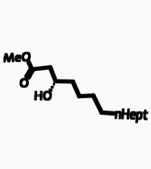 CCCCCCCCCCC[C@H](O)CC(=O)OC